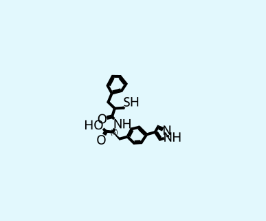 O=C(N[C@@H](Cc1ccc(-c2cn[nH]c2)cc1)C(=O)O)C(CS)Cc1ccccc1